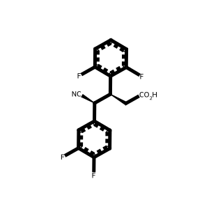 N#C[C@H](c1ccc(F)c(F)c1)[C@H](CC(=O)O)c1c(F)cccc1F